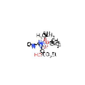 CCOC(=O)C1(CO)CCC(c2nc3c(-c4cnn(-c5ccccc5)c4)cnn3c(N(COCC[Si](C)(C)C)COCC[Si](C)(C)C)c2Br)CC1